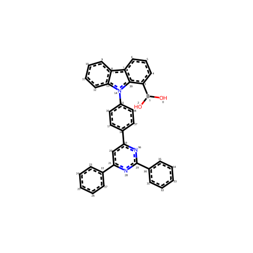 OB(O)c1cccc2c3ccccc3n(-c3ccc(-c4cc(-c5ccccc5)nc(-c5ccccc5)n4)cc3)c12